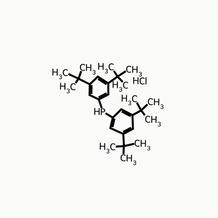 CC(C)(C)c1cc(Pc2cc(C(C)(C)C)cc(C(C)(C)C)c2)cc(C(C)(C)C)c1.Cl